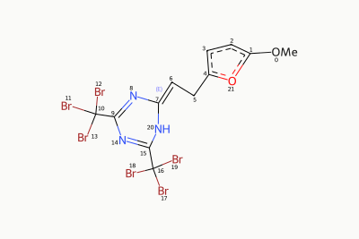 COc1ccc(C/C=C2/N=C(C(Br)(Br)Br)N=C(C(Br)(Br)Br)N2)o1